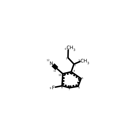 CCC(C)c1cccc(F)c1C#N